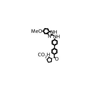 COc1ccc2[nH]c(Nc3ccc(-c4ccc(C(=O)[C@@H]5CCC[C@H]5C(=O)O)cc4)cc3)nc2c1